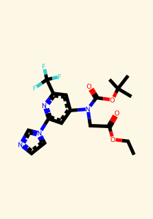 CCOC(=O)CN(C(=O)OC(C)(C)C)c1cc(-n2ccnc2)nc(C(F)(F)F)c1